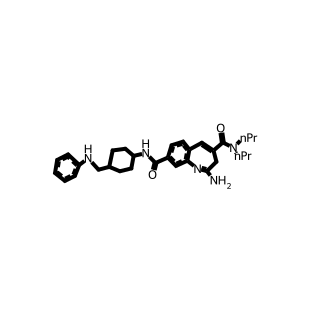 CCCN(CCC)C(=O)C1=Cc2ccc(C(=O)NC3CCC(CNc4ccccc4)CC3)cc2N=C(N)C1